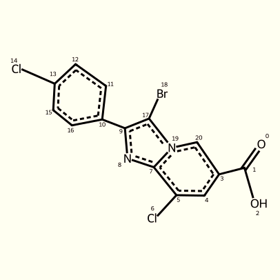 O=C(O)c1cc(Cl)c2nc(-c3ccc(Cl)cc3)c(Br)n2c1